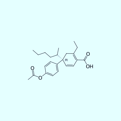 CCCCC(C)[C@@]1(c2ccc(OC(C)=O)cc2)C=CC(C(=O)O)=C(CC)C1